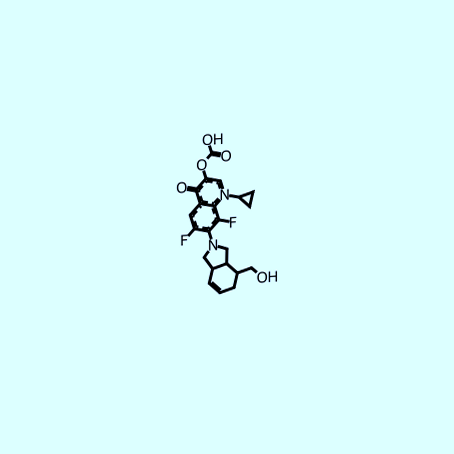 O=C(O)Oc1cn(C2CC2)c2c(F)c(N3CC4C=CCC(CO)C4C3)c(F)cc2c1=O